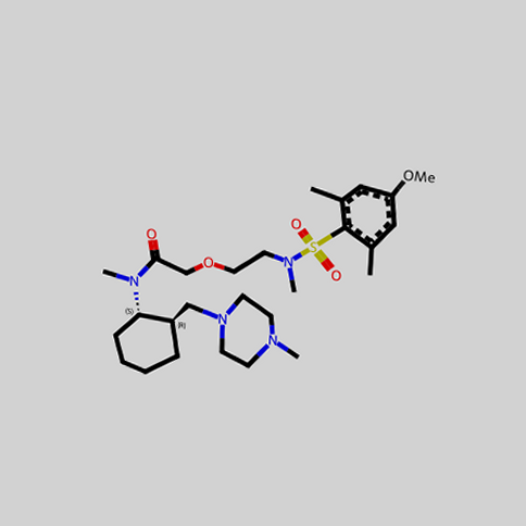 COc1cc(C)c(S(=O)(=O)N(C)CCOCC(=O)N(C)[C@H]2CCCC[C@@H]2CN2CCN(C)CC2)c(C)c1